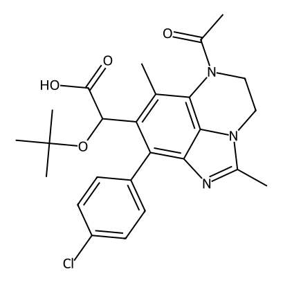 CC(=O)N1CCn2c(C)nc3c(-c4ccc(Cl)cc4)c(C(OC(C)(C)C)C(=O)O)c(C)c1c32